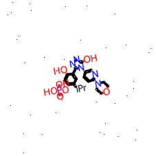 CC(C)c1cc(-c2nnc(O)n2-c2ccc(N3CCOCC3)nc2)c(O)cc1OP(=O)(O)O